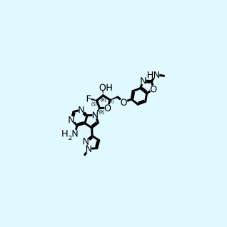 CNc1nc2cc(OC[C@H]3O[C@@H](n4cc(-c5ccn(C)n5)c5c(N)ncnc54)[C@@H](F)[C@@H]3O)ccc2o1